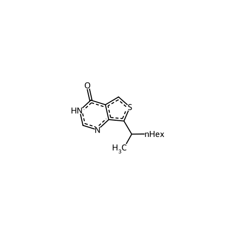 CCCCCCC(C)c1scc2c(=O)[nH]cnc12